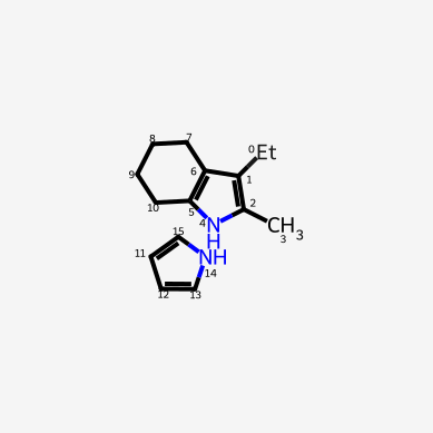 CCc1c(C)[nH]c2c1CCCC2.c1cc[nH]c1